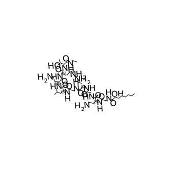 CCCCCCC(O)C(=O)NCC(=O)N[C@@H](CCN)C(=O)NCC(=O)N[C@@H](CCN)C(=O)NCC(=O)N[C@@H](CC(C)C)C(=O)N[C@@H](CCN)C(=O)N[C@@H](CCN)C(=O)NC(C(=O)NCC)C(C)O